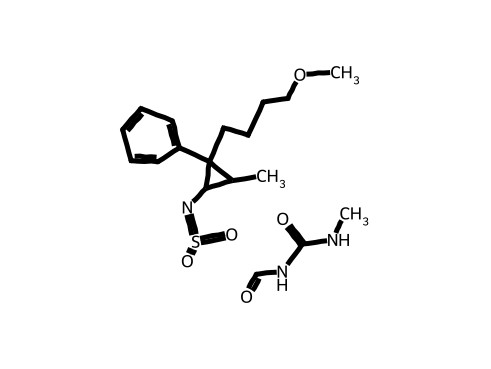 CNC(=O)NC=O.COCCCCC1(c2ccccc2)C(C)C1N=S(=O)=O